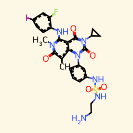 Cc1c(=O)n(C)c(Nc2ccc(I)cc2F)c2c(=O)n(C3CC3)c(=O)n(-c3cccc(NS(=O)(=O)NCCN)c3)c12